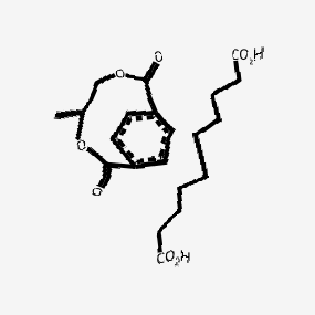 CC1COC(=O)c2ccc(cc2)C(=O)O1.O=C(O)CCCCCCCCC(=O)O